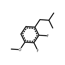 COc1ccc(CC(C)C)c(F)c1F